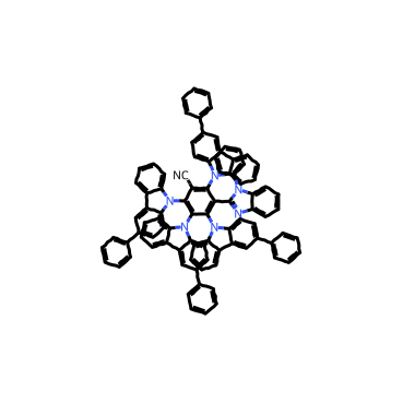 N#Cc1c(-n2c3ccccc3c3cc(-c4ccccc4)ccc32)c(-c2nc3ccccc3n2-c2ccccc2)c(-n2c3ccccc3c3cc(-c4ccccc4)ccc32)c(-n2c3ccccc3c3cc(-c4ccccc4)ccc32)c1-n1c2ccccc2c2cc(-c3ccccc3)ccc21